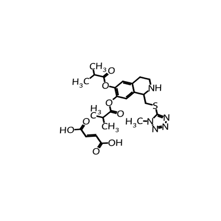 CC(C)C(=O)Oc1cc2c(cc1OC(=O)C(C)C)C(CSc1nnnn1C)NCC2.O=C(O)C=CC(=O)O